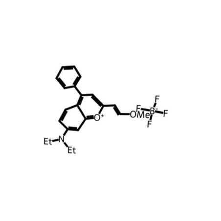 CCN(CC)c1ccc2c(-c3ccccc3)cc(C=COC)[o+]c2c1.F[B-](F)(F)F